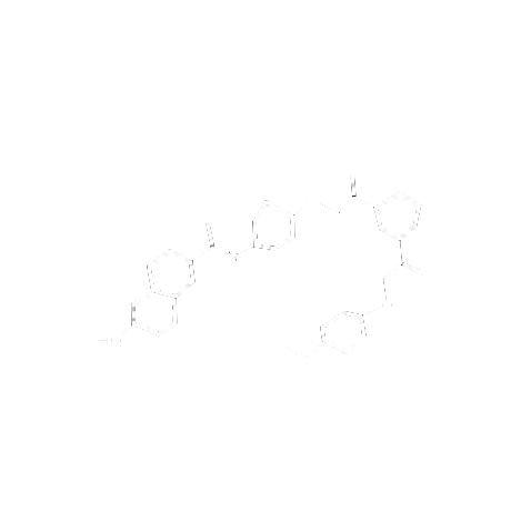 CCOc1ccc(OCC(=O)c2cccc(C(=O)COc3ccc(NC(=O)c4ccc5cc(O)ccc5c4)cc3)c2)cc1